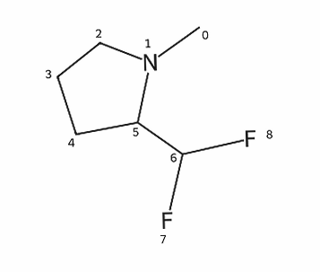 CN1CCCC1C(F)F